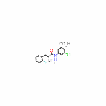 C/C(=C\c1ccccc1F)C(=O)Nc1cc(Cl)cc(C(=O)O)c1